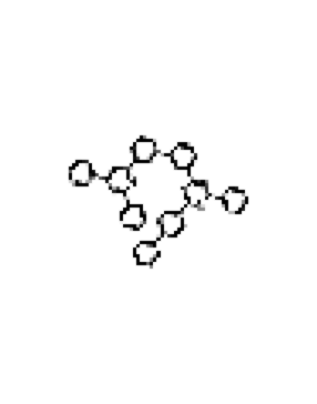 c1ccc(-c2ccc(-c3nc(-c4ccccc4)nc(-c4cccc(-c5cccc(-c6cc(-c7ccccc7)nc(-c7ccccc7)n6)c5)c4)n3)cc2)cc1